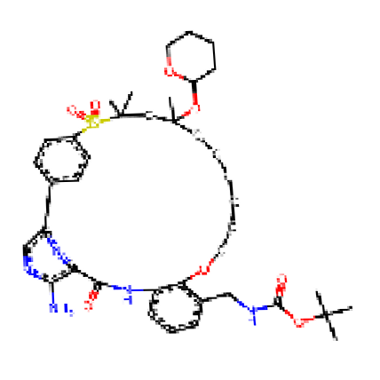 CC(C)(C)OC(=O)NCc1cccc2c1OCCCCCCC(C)(OC1CCCCO1)CC(C)(C)S(=O)(=O)c1ccc(cc1)-c1cnc(N)c(n1)C(=O)N2